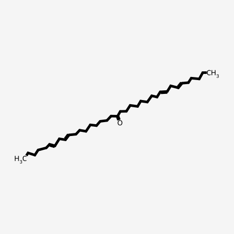 CCCCC/C=C/C/C=C/CCCCCCCCC(=O)CCCCCCCC/C=C/C/C=C/CCCCC